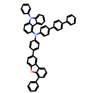 c1ccc(-c2ccc(-c3ccc(N(c4ccc(-c5ccc6oc7c(-c8ccccc8)cccc7c6c5)cc4)c4cccc5c4c4ccccc4n5-c4ccccc4)cc3)cc2)cc1